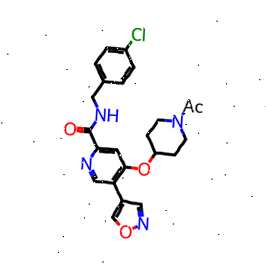 CC(=O)N1CCC(Oc2cc(C(=O)NCc3ccc(Cl)cc3)ncc2-c2cnoc2)CC1